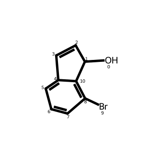 OC1C=Cc2cccc(Br)c21